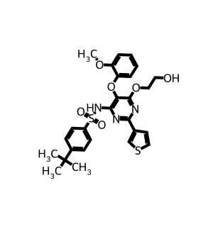 COc1ccccc1Oc1c(NS(=O)(=O)c2ccc(C(C)(C)C)cc2)nc(-c2ccsc2)nc1OCCO